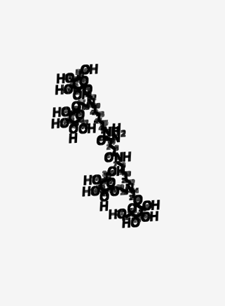 N[C@@H](CCC(=O)NCCCCCCN(CCOC1OC(CO)C(O)C(O)C1O)CCO[C@H]1O[C@H](CO)[C@@H](O)[C@H](O)[C@@H]1O)C(=O)NCCCCCCN(CCO[C@H]1O[C@H](CO)[C@@H](O)[C@H](O)[C@@H]1O)CCO[C@H]1O[C@H](CO)[C@@H](O)[C@H](O)[C@@H]1O